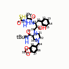 CC(C)[C@H](NC(=O)S)C(=O)N[C@@H](Cc1ccccc1)[C@H](O)CN1CCN(Cc2ccc3c(c2)OCO3)C[C@H]1C(=O)NC(C)(C)C